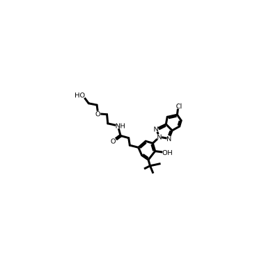 CC(C)(C)c1cc(CCC(=O)NCCOCCO)cc(-n2nc3ccc(Cl)cc3n2)c1O